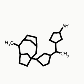 CC(C1CCC(S)C1)C1CCC(C23CCC(C2)C(C)C2CCC(C2)C3)C1